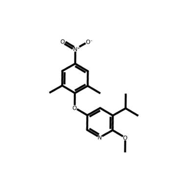 COc1ncc(Oc2c(C)cc([N+](=O)[O-])cc2C)cc1C(C)C